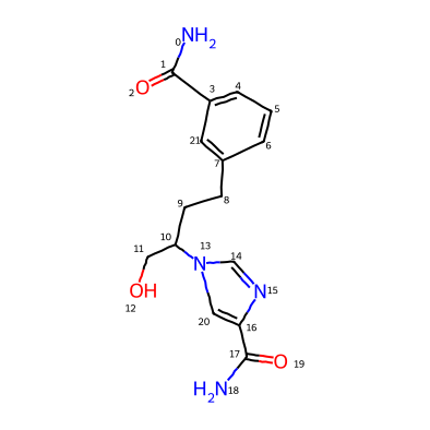 NC(=O)c1cccc(CCC(CO)n2cnc(C(N)=O)c2)c1